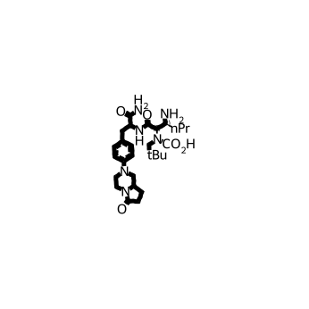 CCC[C@@H](N)[C@@H](C(=O)NC(Cc1ccc(N2CCN3C(=O)CCC3C2)cc1)C(N)=O)N(CC(C)(C)C)C(=O)O